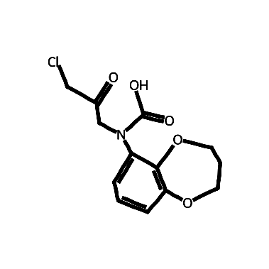 O=C(CCl)CN(C(=O)O)c1cccc2c1OCCCO2